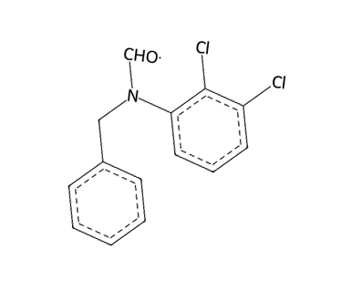 O=[C]N(Cc1ccccc1)c1cccc(Cl)c1Cl